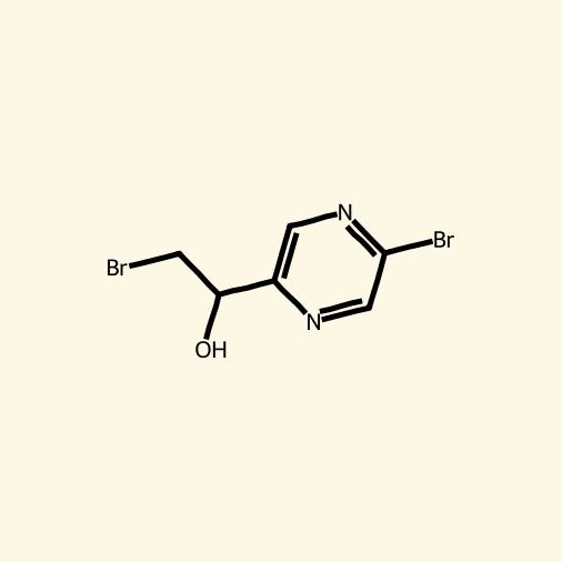 OC(CBr)c1cnc(Br)cn1